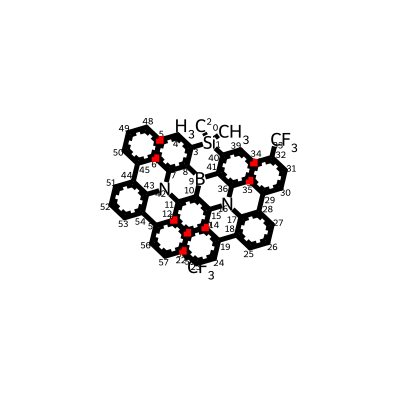 C[Si]1(C)c2cccc3c2B2c4c(cccc4N(c4c(-c5ccccc5)cccc4-c4ccc(C(F)(F)F)cc4)c4cccc1c42)N3c1c(-c2ccccc2)cccc1-c1ccc(C(F)(F)F)cc1